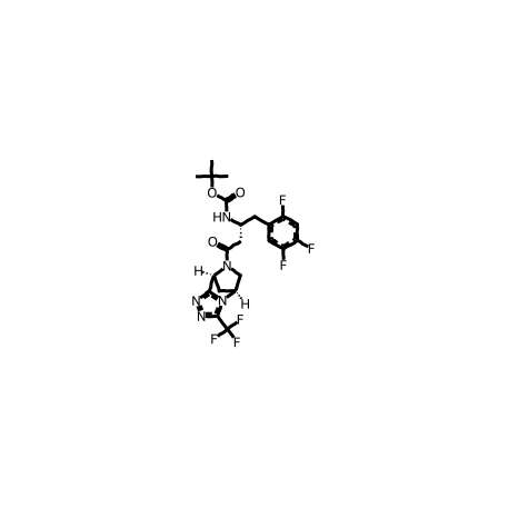 CC(C)(C)OC(=O)N[C@@H](CC(=O)N1C[C@@H]2C[C@H]1c1nnc(C(F)(F)F)n12)Cc1cc(F)c(F)cc1F